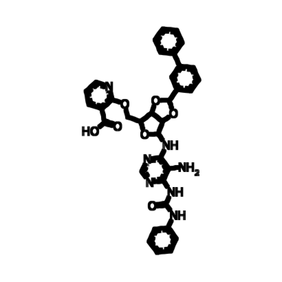 Nc1c(NC(=O)Nc2ccccc2)ncnc1NC1OC(COc2ncccc2C(=O)O)C2OC(c3cccc(-c4ccccc4)c3)OC12